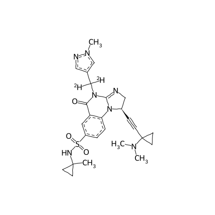 [2H]C([2H])(c1cnn(C)c1)N1C(=O)c2cc(S(=O)(=O)NC3(C)CC3)ccc2N2C1=NC[C@H]2C#CC1(N(C)C)CC1